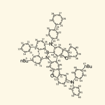 CCCCc1ccc(N2B3c4cc(-c5ccccc5)ccc4N(c4ccc(-c5ccccc5)cc4)c4cc5c(oc6ccccc65)c(c43)-c3cc4c(cc32)oc2ccc(N(c3ccccc3)c3ccc(CCCC)cc3)cc24)cc1